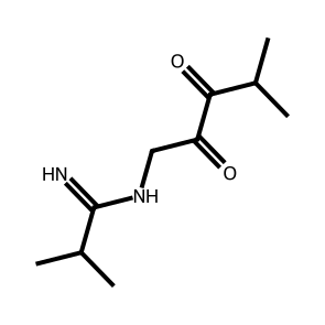 CC(C)C(=N)NCC(=O)C(=O)C(C)C